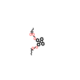 CCCCC(C)(C)OCCOc1ccc(C2(c3ccc(OCCOC(=O)C(C)(C)CCC)cc3)c3ccccc3-c3ccccc32)cc1